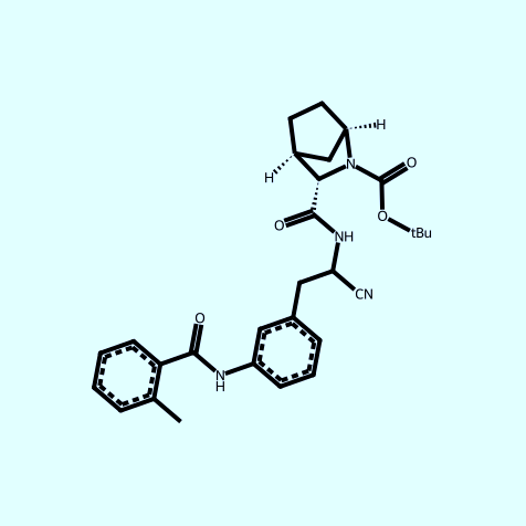 Cc1ccccc1C(=O)Nc1cccc(CC(C#N)NC(=O)[C@@H]2[C@H]3CC[C@H](C3)N2C(=O)OC(C)(C)C)c1